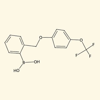 OB(O)c1ccccc1COc1ccc(OC(F)(F)F)cc1